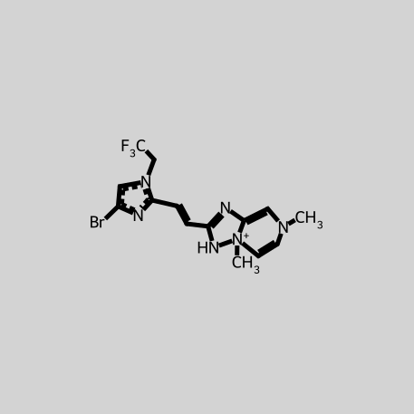 CN1C=C[N+]2(C)NC(/C=C/c3nc(Br)cn3CC(F)(F)F)=NC2=C1